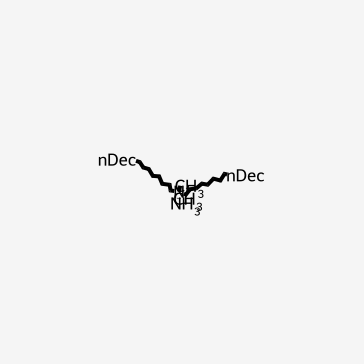 CCCCCCCCCCCCCCCCCC[N+](C)(C)CCCCCCCCCCCCCCCCCC.N